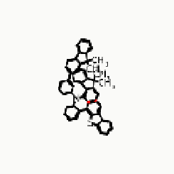 CC1(C)c2ccccc2-c2ccc(-c3cccc(N(c4ccccc4-c4cccc5c4sc4ccccc45)c4cccc5c4-c4ccccc4C5(C)C)c3)cc21